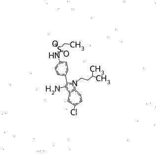 CCS(=O)(=O)Nc1ccc(-c2c(N)c3cc(Cl)ccc3n2CCC(C)C)cc1